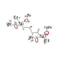 CC[Si](CCCC[Si](CC)(OC(C)C)OC(C)C)(OC(C)C)OC(C)C